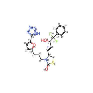 O=C1SCC(/C=C/C(O)C(F)(F)c2ccccc2)N1CCCc1ccc(-c2nnn[nH]2)o1